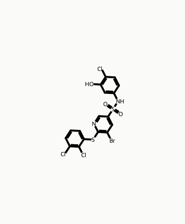 O=S(=O)(Nc1ccc(Cl)c(O)c1)c1cnc(Sc2cccc(Cl)c2Cl)c(Br)c1